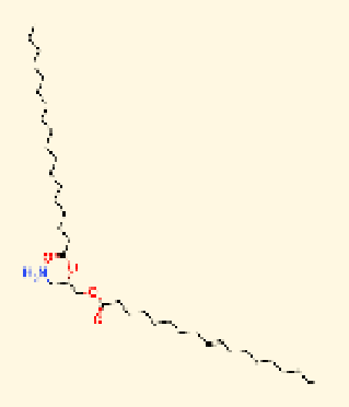 CCCCCCCCC=CCCCCCCCC(=O)OCC(CN)OC(=O)CCCCCCCCCCCCCCCCC